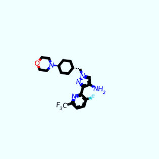 Nc1cn(C[C@H]2CC[C@H](N3CCOCC3)CC2)nc1-c1nc(C(F)(F)F)ccc1F